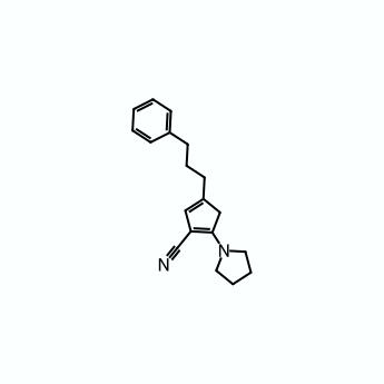 N#CC1=C(N2CCCC2)CC(CCCc2ccccc2)=C1